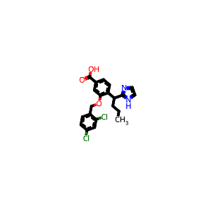 CCCC(c1ncc[nH]1)c1ccc(C(=O)O)cc1OCc1ccc(Cl)cc1Cl